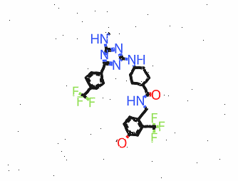 CNc1nc(NC2CCC(C(=O)NCc3ccc(OC)cc3C(F)(F)F)CC2)nc(-c2ccc(C(F)(F)F)cc2)n1